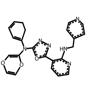 C1=CCCC(N(C2=COC=CO2)c2nnc(-c3cccnc3NCc3ccncc3)o2)=C1